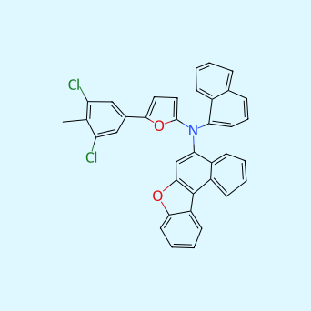 Cc1c(Cl)cc(-c2ccc(N(c3cccc4ccccc34)c3cc4oc5ccccc5c4c4ccccc34)o2)cc1Cl